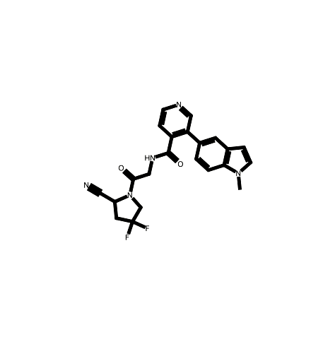 Cn1ccc2cc(-c3cnccc3C(=O)NCC(=O)N3CC(F)(F)CC3C#N)ccc21